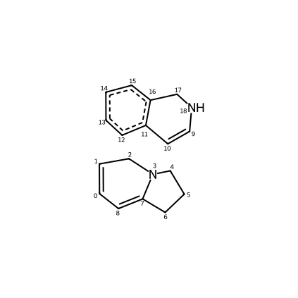 C1=CCN2CCCC2=C1.C1=Cc2ccccc2CN1